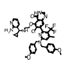 COc1ccc(CN(Cc2ccc(OC)cc2)c2cc(C)c(C(F)(F)F)c(-c3cc4nc[nH]c(=O)c4c(OCCNC(c4cccnc4N)C4CC4)c3Cl)n2)cc1